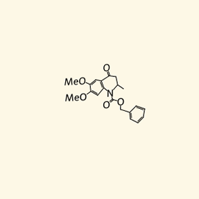 COc1cc2c(cc1OC)N(C(=O)OCc1ccccc1)C(C)CC2=O